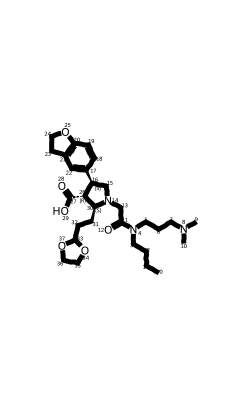 CCCCN(CCCN(C)C)C(=O)CN1C[C@H](c2ccc3c(c2)CCO3)[C@@H](C(=O)O)[C@@H]1CCC1OCCO1